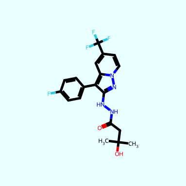 CC(C)(O)CC(=O)NNc1nn2ccc(C(F)(F)F)cc2c1-c1ccc(F)cc1